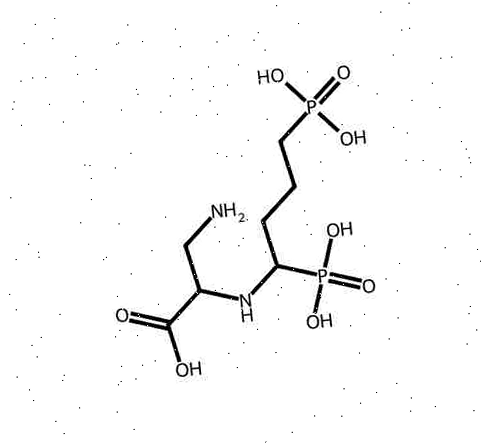 NCC(NC(CCCP(=O)(O)O)P(=O)(O)O)C(=O)O